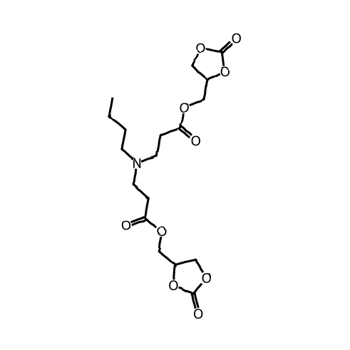 CCCCN(CCC(=O)OCC1COC(=O)O1)CCC(=O)OCC1COC(=O)O1